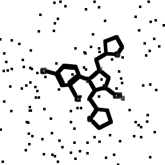 CN1CN(CC2CCCO2)N(c2ccc(Cl)cc2Cl)C1CC1CCCO1